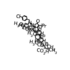 COC(C)(C)O[C@H](CN(CCN(C)C)Cc1ccc(Cl)cc1)[C@@]12CC[C@]3(C)[C@H](CC[C@@H]4[C@@]5(C)CC[C@H](OC(=O)CC(C)(C)C(=O)O)C(C)(C)[C@@H]5CC[C@]43C)C1=C(C(C)C)C(=O)C2